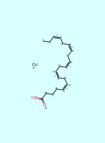 CC/C=C\C/C=C\C/C=C\C/C=C\C/C=C\CCCC(=O)[O-].[Cs+]